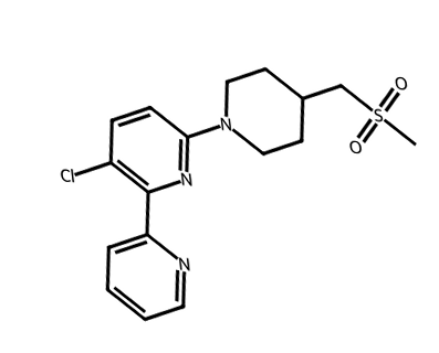 CS(=O)(=O)CC1CCN(c2ccc(Cl)c(-c3ccccn3)n2)CC1